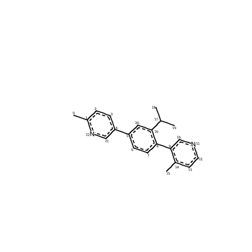 Cc1ccc(-c2ccc(-c3cnccc3C)c(C(C)C)c2)cn1